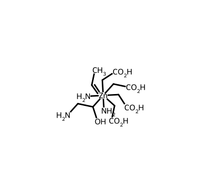 C[CH]=[Zn]([NH2])([NH2])([CH2]C(=O)O)([CH2]C(=O)O)([CH2]C(=O)O)([CH2]C(=O)O)[CH](O)CN